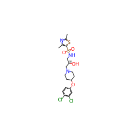 Cc1nc(C)c(S(=O)(=O)NC[C@@H](O)CN2CCC(Oc3ccc(Cl)c(Cl)c3)CC2)s1